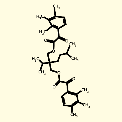 Cc1ccc(C(=O)C(=O)OCC(CCC(C)C)(COC(=O)C(=O)c2ccc(C)c(C)c2C)C(C)C)c(C)c1C